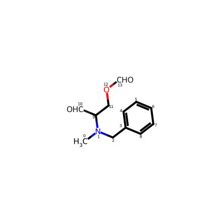 CN(Cc1ccccc1)C(C=O)COC=O